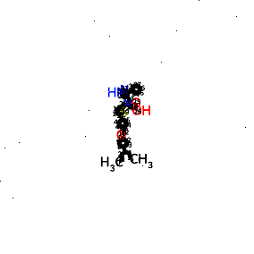 CCCC(CCC)c1ccc(OCc2ccc(-c3ccc(CN(CC(=O)O)Cc4c[nH]nc4-c4ccccc4)s3)cc2)cc1